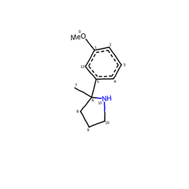 COc1cccc(C2(C)CCCN2)c1